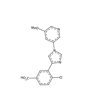 COc1cncc(-n2cnc(-c3cc(C(=O)O)ccc3Cl)c2)c1